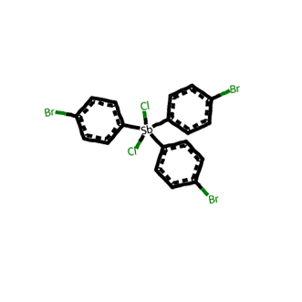 [Cl][Sb]([Cl])([c]1ccc(Br)cc1)([c]1ccc(Br)cc1)[c]1ccc(Br)cc1